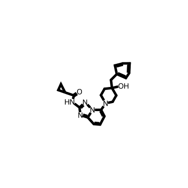 O=C(Nc1nc2cccc(N3CCC(O)(Cc4ccccc4)CC3)n2n1)C1CC1